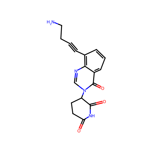 NCCC#Cc1cccc2c(=O)n(C3CCC(=O)NC3=O)cnc12